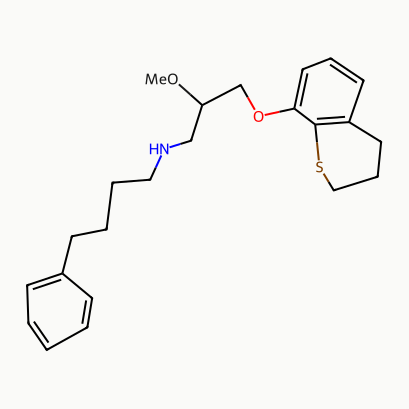 COC(CNCCCCc1ccccc1)COc1cccc2c1SCCC2